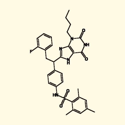 CCCCn1c(=O)[nH]c(=O)c2[nH]c(C(Cc3ccccc3F)c3ccc(NS(=O)(=O)c4c(C)cc(C)cc4C)cc3)nc21